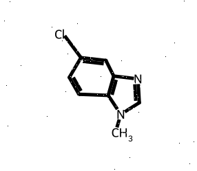 Cn1cnc2cc(Cl)ccc21